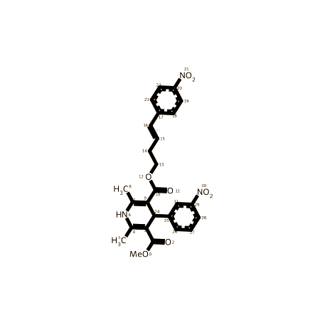 COC(=O)C1=C(C)NC(C)=C(C(=O)OCC/C=C/c2ccc([N+](=O)[O-])cc2)C1c1cccc([N+](=O)[O-])c1